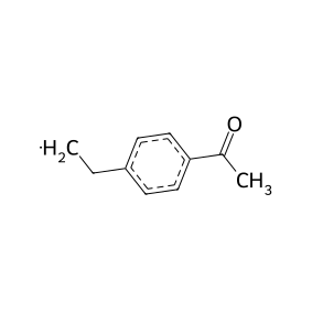 [CH2]Cc1ccc(C(C)=O)cc1